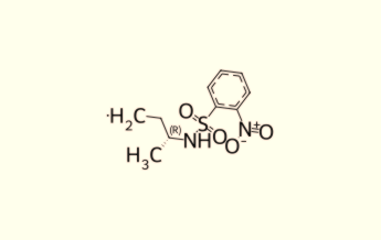 [CH2]C[C@@H](C)NS(=O)(=O)c1ccccc1[N+](=O)[O-]